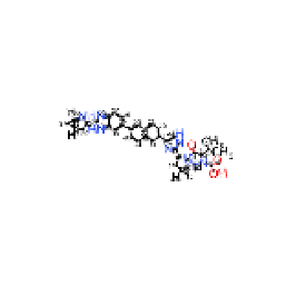 CC(C)[C@H](NC(=O)O)C(=O)N1[C@@H]2C[C@@H]2C[C@H]1c1nc(-c2ccc3cc(-c4ccc5nc([C@@H]6C[C@@H]7C[C@H]7N6)[nH]c5c4)ccc3c2)c[nH]1